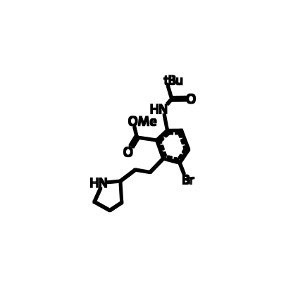 COC(=O)c1c(NC(=O)C(C)(C)C)ccc(Br)c1CCC1CCCN1